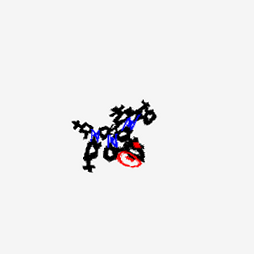 CC1=CC(C(C)(C)C)=CCC1N(c1ccc2c(c1)N(c1cccc3oc4ccccc4c13)c1cc(C(C)(C)C)cc3c1B2c1cc(C(C)(C)C)cc2c4c(n-3c12)-c1ccccc1C4(C)C)c1ccc(C(C)(C)C)cc1C